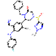 Cc1cc(Nc2ccc(F)cc2)c(C=N)cc1C1CN([S+]([O-])c2cnn(C)n2)CC(=O)N1Cc1ccccc1